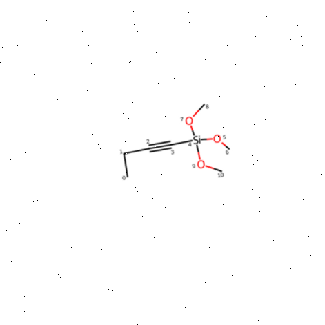 CCC#C[Si](OC)(OC)OC